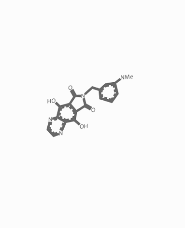 CNc1cccc(CN2C(=O)c3c(c(O)c4nccnc4c3O)C2=O)c1